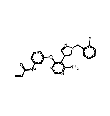 C=CC(=O)Nc1cccc(Oc2ncnc(N)c2C2C=NN(Cc3ccccc3F)C2)c1